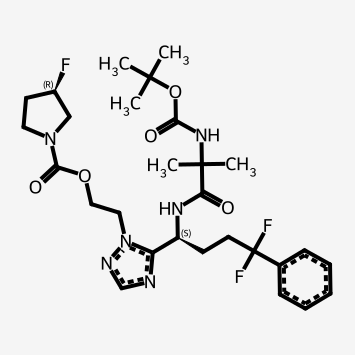 CC(C)(C)OC(=O)NC(C)(C)C(=O)N[C@@H](CCC(F)(F)c1ccccc1)c1ncnn1CCOC(=O)N1CC[C@@H](F)C1